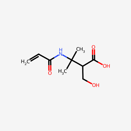 C=CC(=O)NC(C)(C)C(CO)C(=O)O